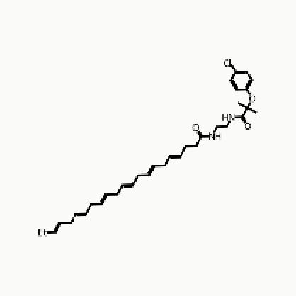 CCC=CCC=CCC=CCC=CCC=CCC=CCCC(=O)NCCNC(=O)C(C)(C)Oc1ccc(Cl)cc1